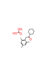 Cc1cc(C)c(CC(=O)C2CCCCC2)c(C)c1.O=C(O)O